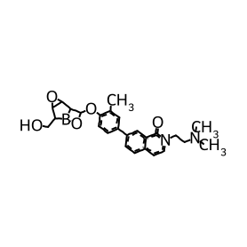 Cc1cc(-c2ccc3ccn(CCN(C)C)c(=O)c3c2)ccc1OC1OB2C(CO)C3OC3C21